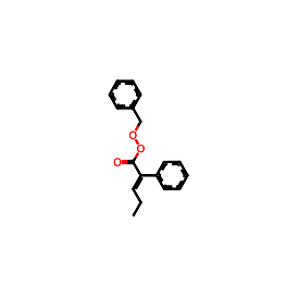 CCC=C(C(=O)OOCc1ccccc1)c1ccccc1